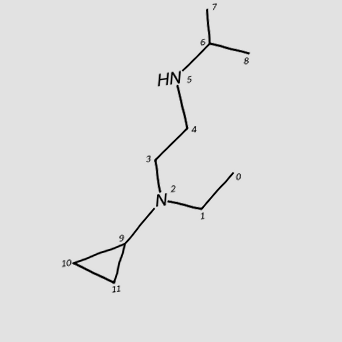 CCN(CCNC(C)C)C1CC1